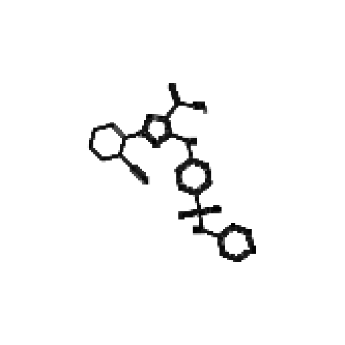 N#CC1CCCCC1n1cc(C(N)=O)c(Nc2ccc(S(=O)(=O)Nc3ccncc3)cc2)n1